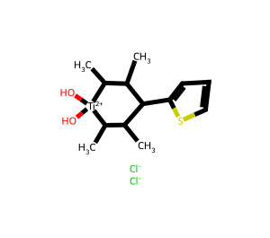 CC1C(c2cccs2)C(C)[CH](C)[Ti+2]([OH])([OH])[CH]1C.[Cl-].[Cl-]